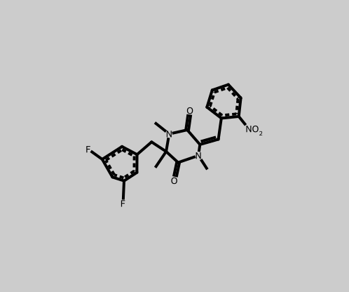 CN1C(=O)C(C)(Cc2cc(F)cc(F)c2)N(C)C(=O)/C1=C\c1ccccc1[N+](=O)[O-]